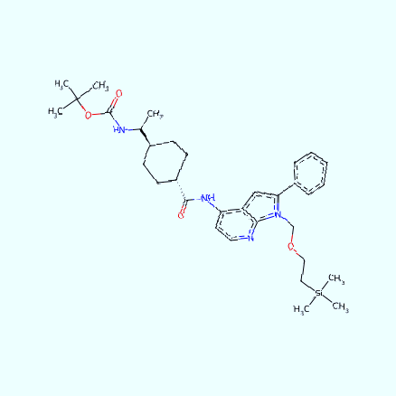 CC(NC(=O)OC(C)(C)C)[C@H]1CC[C@H](C(=O)Nc2ccnc3c2cc(-c2ccccc2)n3COCC[Si](C)(C)C)CC1